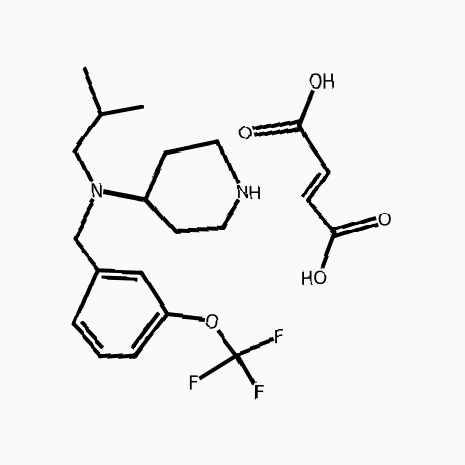 CC(C)CN(Cc1cccc(OC(F)(F)F)c1)C1CCNCC1.O=C(O)/C=C/C(=O)O